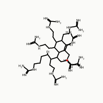 CCC(CCCNC(=N)N)C(CCNC(=N)N)C(CCNC(=N)N)C(CCNC(=N)N)C(CCNC(=N)N)C(CCNC(=N)N)C(CCNC(=N)N)C(CC)CCNC(=N)N